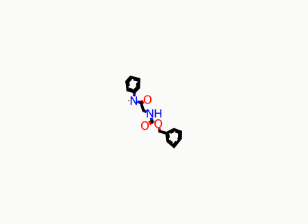 O=C(CNC(=O)OCc1ccccc1)[N]c1ccccc1